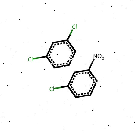 Clc1cccc(Cl)c1.O=[N+]([O-])c1cccc(Cl)c1